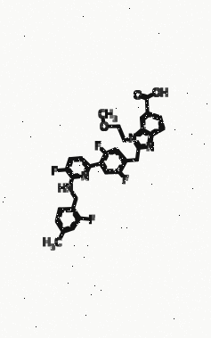 COCCn1c(Cc2cc(F)c(-c3ccc(F)c(NCc4ccc(C)cc4F)n3)cc2F)nc2ccc(C(=O)O)cc21